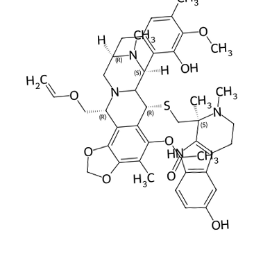 C=COC[C@H]1c2c3c(c(C)c(OC(C)=O)c2[C@@H](SC[C@]2(C)c4[nH]c5ccc(O)cc5c4CCN2C)C2[C@@H]4c5c(cc(C)c(OC)c5O)C[C@H](CN21)N4C)OCO3